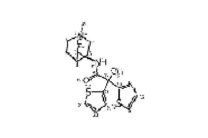 C[N+]12CCC(CC1)C(NC(=O)C(O)(c1cccs1)c1cccs1)C2